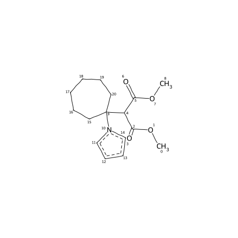 COC(=O)C(C(=O)OC)C1(n2cccc2)CCCCCC1